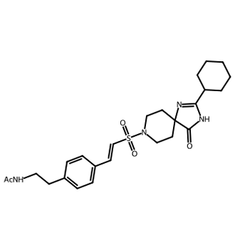 CC(=O)NCCc1ccc(C=CS(=O)(=O)N2CCC3(CC2)N=C(C2CCCCC2)NC3=O)cc1